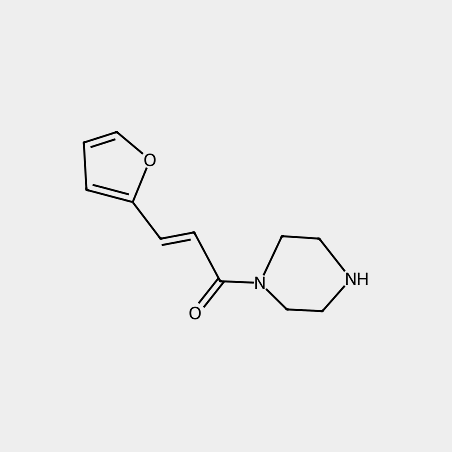 O=C(C=Cc1ccco1)N1CCNCC1